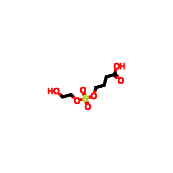 O=C(O)CCCOS(=O)(=O)OCCO